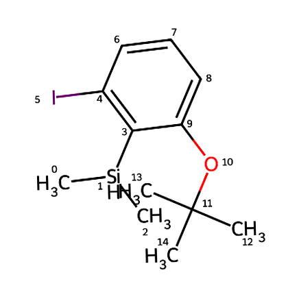 C[SiH](C)c1c(I)cccc1OC(C)(C)C